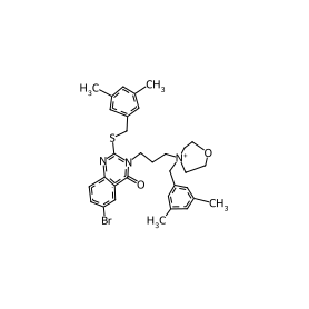 Cc1cc(C)cc(CSc2nc3ccc(Br)cc3c(=O)n2CCC[N+]2(Cc3cc(C)cc(C)c3)CCOCC2)c1